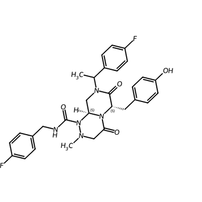 CC(c1ccc(F)cc1)N1C[C@H]2N(C(=O)CN(C)N2C(=O)NCc2ccc(F)cc2)[C@@H](Cc2ccc(O)cc2)C1=O